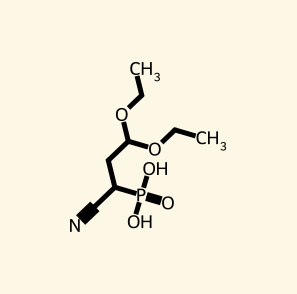 CCOC(CC(C#N)P(=O)(O)O)OCC